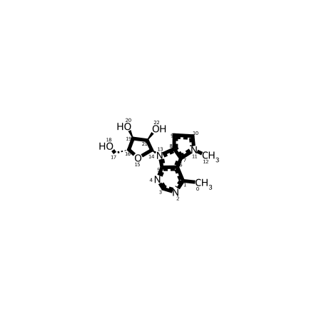 Cc1ncnc2c1c1c(ccn1C)n2[C@@H]1O[C@H](CO)[C@@H](O)[C@H]1O